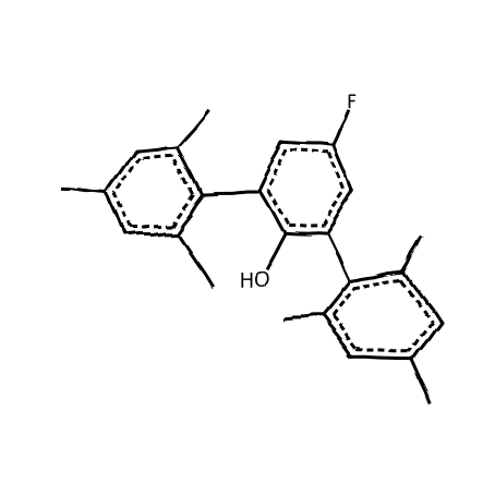 Cc1cc(C)c(-c2cc(F)cc(-c3c(C)cc(C)cc3C)c2O)c(C)c1